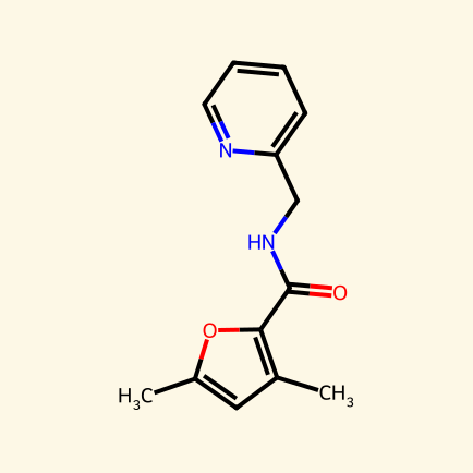 Cc1cc(C)c(C(=O)NCc2ccccn2)o1